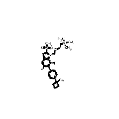 C[Si](C)(C)CCOCn1c(S(C)(=O)=O)nc2cc(F)c(-c3ccc(C4(O)CCC4)cc3)c(F)c21